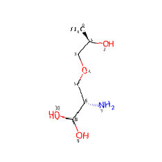 C[C@@H](O)COC[C@H](N)C(O)O